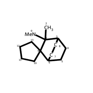 CNC1(C)C2CCC(CC2)C12CCCC2